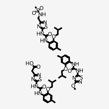 COc1nsc(NC(=O)Nc2ccc(C)cc2OCC(C)C)n1.Cc1ccc(NC(=O)Nc2nc(CC(=O)O)ns2)c(OCC(C)C)c1.Cc1ccc(NC(=O)Nc2nc(CNS(C)(=O)=O)ns2)c(OCC(C)C)c1